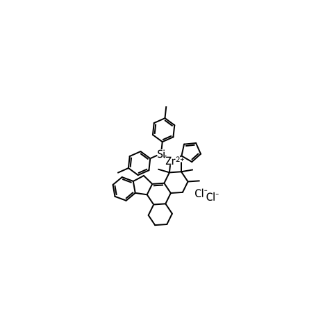 Cc1ccc([Si](c2ccc(C)cc2)=[Zr+2]([CH]2C=CC=C2)[C]2(C)C3=C4Cc5ccccc5C4C4CCCCC4C3CC(C)C2(C)C)cc1.[Cl-].[Cl-]